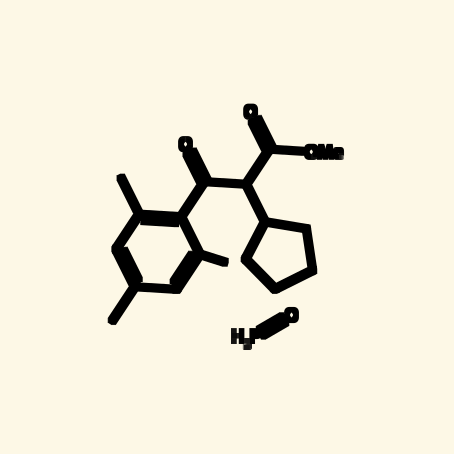 COC(=O)C(C(=O)c1c(C)cc(C)cc1C)C1CCCC1.O=[PH3]